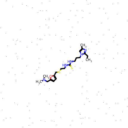 CCc1nc(C)cn1CCCNC(=S)NCCSCc1ccc(CN(C)C)o1